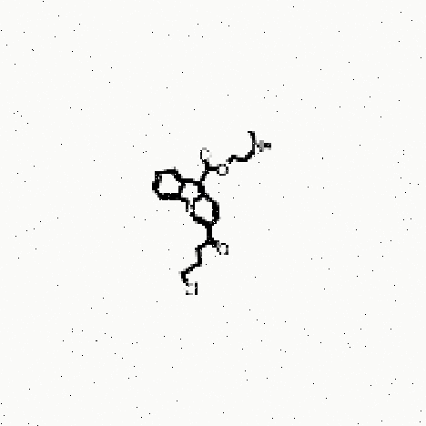 CN(C)CCOC(=O)c1c2ccccc2n2cc(C(=O)CCCCl)ccc12